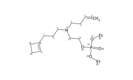 C=CCCN(CCCC1=CCC1)CCOP(=O)(OCC)OCC